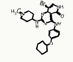 CN1CCC(Nc2nc(Nc3ccc(OC4CCCCC4)cc3)c3c(=O)[nH]cc(Br)c3n2)CC1